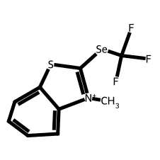 C[n+]1c([Se]C(F)(F)F)sc2ccccc21